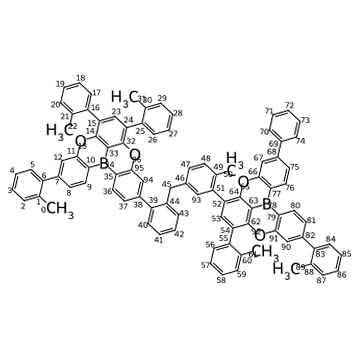 Cc1ccccc1-c1ccc2c(c1)Oc1c(-c3ccccc3C)cc(-c3ccccc3C)c3c1B2c1ccc(-c2ccccc2Cc2ccc(C)c(-c4cc(-c5ccccc5C)c5c6c4Oc4cc(-c7ccccc7)ccc4B6c4ccc(-c6ccccc6C)cc4O5)c2)cc1O3